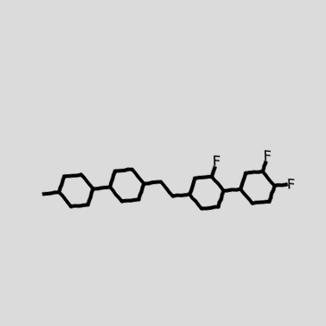 CC1CCC(C2CCC(CCC3CCC(C4CCC(F)C(F)C4)C(F)C3)CC2)CC1